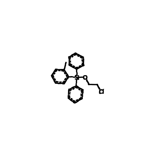 Cc1ccccc1[Si](OCCCl)(c1ccccc1)c1ccccc1